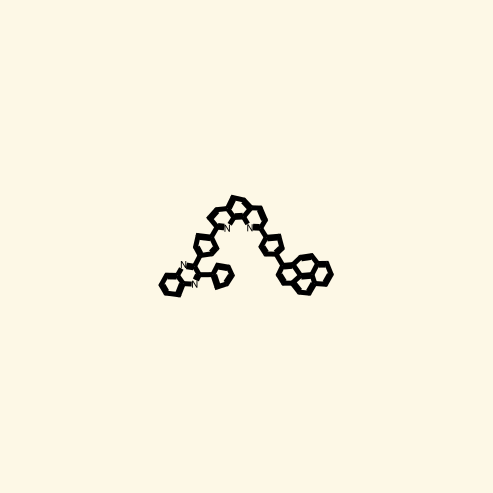 c1ccc(-c2nc3ccccc3nc2-c2ccc(-c3ccc4ccc5ccc(-c6ccc(-c7ccc8ccc9cccc%10ccc7c8c9%10)cc6)nc5c4n3)cc2)cc1